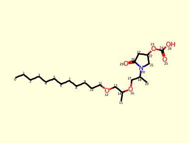 CCCCCCCCCCCCOCC(C)OCC(C)N1CC(OC(=O)O)CC1=O